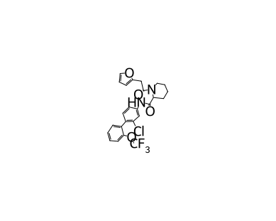 O=C(Nc1ccc(-c2ccccc2OC(F)(F)F)c(Cl)c1)C1CCCCN1C(=O)Cc1ccco1